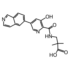 CC(C)(CNC(=O)c1ncc(-c2ccc3cnccc3c2)cc1O)C(=O)O